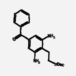 CCCCCCCCCCCCc1c(N)cc(C(=O)c2ccccc2)cc1N